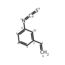 C=Cc1cccc(N=C=S)c1